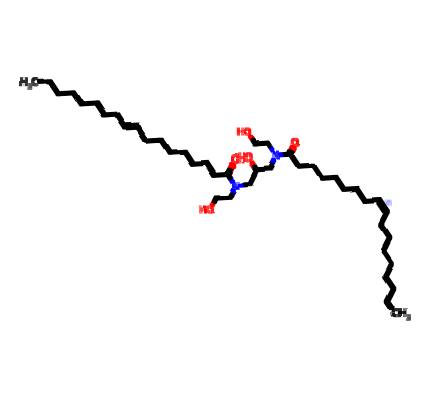 CCCCCCCCC=CCCCCCCCC(=O)N(CCO)CC(O)CN(CCO)C(=O)CCCCCCC/C=C\CCCCCCCC